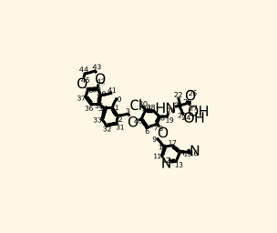 Cc1c(COc2cc(OCc3cncc(C#N)c3)c(CNC(C)(CO)C(=O)O)cc2Cl)cccc1-c1ccc2c(c1C)OCCO2